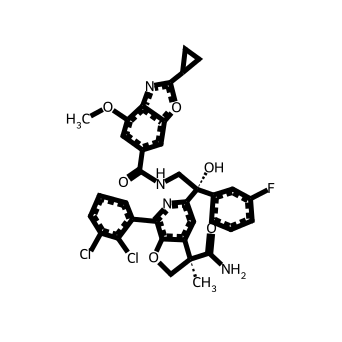 COc1cc(C(=O)NC[C@@](O)(c2cccc(F)c2)c2cc3c(c(-c4cccc(Cl)c4Cl)n2)OC[C@]3(C)C(N)=O)cc2oc(C3CC3)nc12